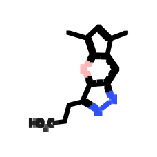 CC1=CC(C)=c2bc3c(cc21)=NN=C3CCC(=O)O